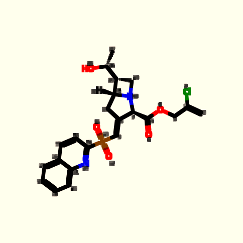 C=C(Cl)COC(=O)[C@H]1/C(=C/S(=O)(=O)c2ccc3ccccc3n2)C[C@@H]2[C@H]([C@@H](C)O)CN21